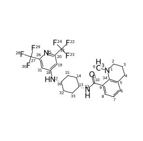 CN1CCCc2cccc(C(=O)N[C@H]3CC[C@@H](Nc4cc(C(F)(F)F)nc(C(F)(F)F)c4)CC3)c21